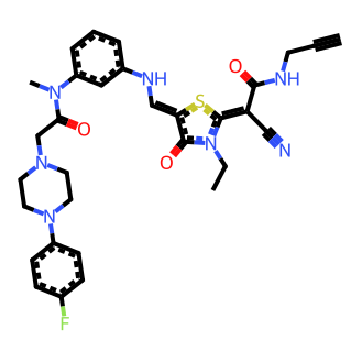 C#CCNC(=O)C(C#N)=c1sc(=CNc2cccc(N(C)C(=O)CN3CCN(c4ccc(F)cc4)CC3)c2)c(=O)n1CC